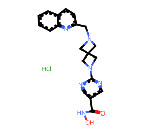 Cl.O=C(NO)c1cnc(N2CC3(CN(Cc4ccc5ccccc5n4)C3)C2)nc1